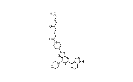 CC/C=C/C(=O)CCCC(=O)N1CC=C(c2cc3nc(-c4cccc5[nH]ncc45)nc(N4CCOCC4)c3s2)CC1